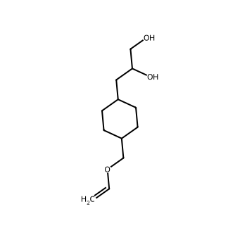 C=COCC1CCC(CC(O)CO)CC1